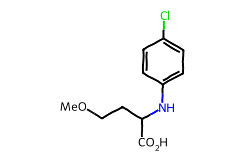 COCCC(Nc1ccc(Cl)cc1)C(=O)O